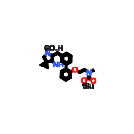 CN(CCOc1ccccc1-c1cccc(CC2C(N)C3(CC3)CN2C(=O)O)c1)C(=O)OC(C)(C)C